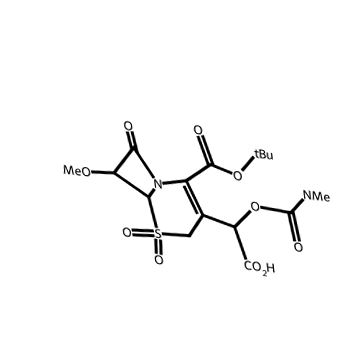 CNC(=O)OC(C(=O)O)C1=C(C(=O)OC(C)(C)C)N2C(=O)C(OC)C2S(=O)(=O)C1